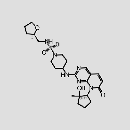 C[C@]1(O)CCC[C@@H]1n1c(=O)ccc2cnc(NC3CCN(S(=O)(=O)NC[C@H]4CCCO4)CC3)nc21